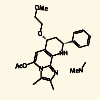 CNC.COCCO[C@@H]1C[C@H](c2ccccc2)Nc2c1cc(OC(C)=O)n1c(C)c(C)nc21